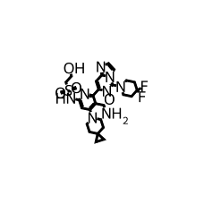 NC(=O)c1c(N2CCC3(CC2)CC3)cc(NS(=O)(=O)CCO)nc1-c1cc2nccn2c(N2CCC(F)(F)CC2)n1